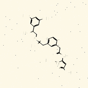 Cc1cc(NC(=O)Cc2cccc(CC(C)(C)NCC(O)c3cc(O)cc(O)c3)c2)n(C)n1